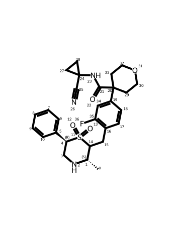 C[C@@H]1NC[C@@H](c2ccccc2)S(=O)(=O)C1Cc1ccc(C2(C(=O)NC3(C#N)CC3)CCOCC2)cc1F